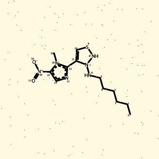 CCCCCCNN1NSC=C1c1ncc([N+](=O)[O-])n1C